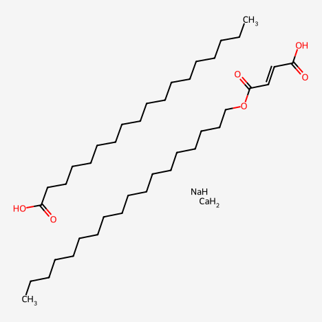 CCCCCCCCCCCCCCCCCC(=O)O.CCCCCCCCCCCCCCCCCCOC(=O)C=CC(=O)O.[CaH2].[NaH]